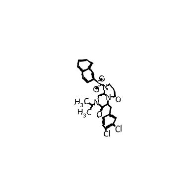 CC(C)N1CC2N(C(=O)CCN2S(=O)(=O)c2ccc3ccccc3c2)C(Cc2ccc(Cl)c(Cl)c2)C1=O